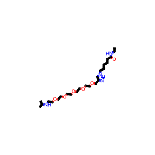 CCNC(=O)CCCCCn1cc(COCCOCCOCCOCCOCCNC(C)C)nn1